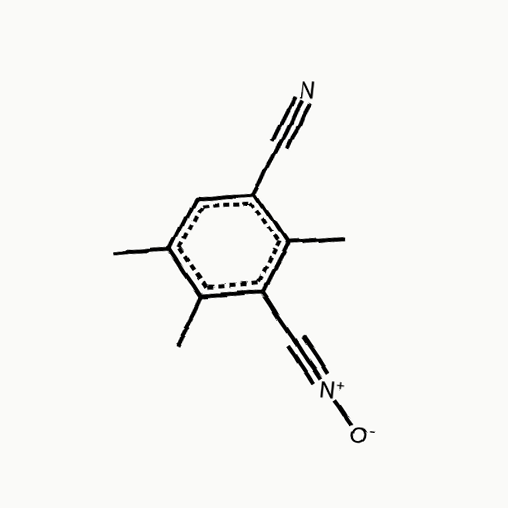 Cc1cc(C#N)c(C)c(C#[N+][O-])c1C